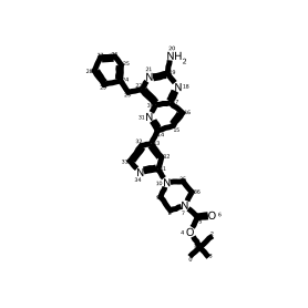 CC(C)(C)OC(=O)N1CCN(c2cc(-c3ccc4nc(N)nc(Cc5ccccc5)c4n3)ccn2)CC1